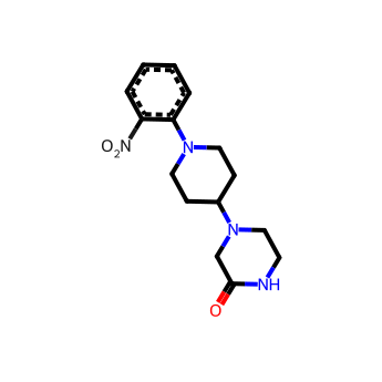 O=C1CN(C2CCN(c3ccccc3[N+](=O)[O-])CC2)CCN1